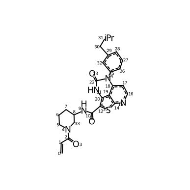 C=CC(=O)N1CCCC(NC(=O)c2sc3nccc4c3c2NC(=O)N4c2cccc(CC(C)C)c2)C1